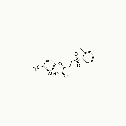 COC(=O)C(CCS(=O)(=O)c1ccccc1C)Oc1ccc(C(F)(F)F)cc1